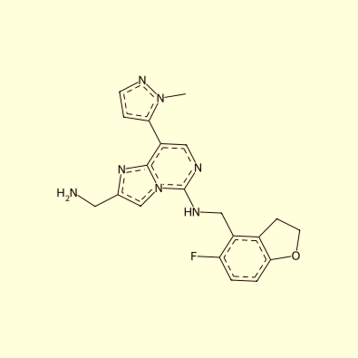 Cn1nccc1-c1cnc(NCc2c(F)ccc3c2CCO3)n2cc(CN)nc12